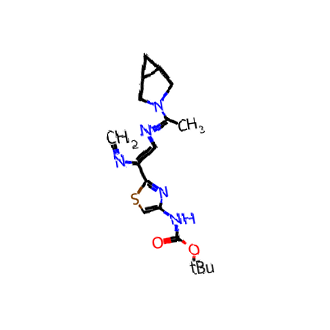 C=N/C(=C\N=C(/C)N1CC2CC2C1)c1nc(NC(=O)OC(C)(C)C)cs1